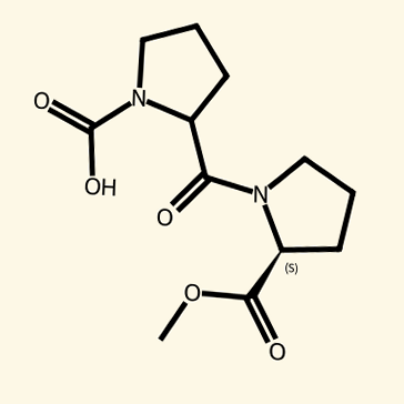 COC(=O)[C@@H]1CCCN1C(=O)C1CCCN1C(=O)O